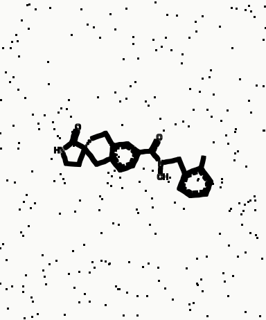 Cc1ccccc1CN(O)C(=O)c1ccc2c(c1)CC[C@@]1(CCNC1=O)C2